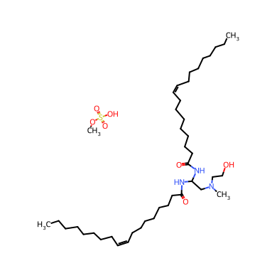 CCCCCCCC/C=C\CCCCCCCC(=O)NC(CN(C)CCO)NC(=O)CCCCCCC/C=C\CCCCCCCC.COS(=O)(=O)O